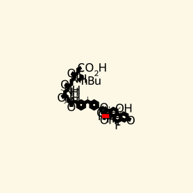 CCCCC(C)SC(CC(=O)O)C(=O)NCCC(=O)N[C@@H](C)C(=O)N[C@@H](C)C(=O)Nc1cccc([C@H](C)c2ccc([C@@H]3O[C@@H]4C[C@H]5[C@@H]6C[C@H](F)C7=CC(=O)C=C[C@]7(C)[C@@]6(F)[C@@H](O)C[C@]5(C)[C@]4(C(=O)CO)O3)cc2)c1